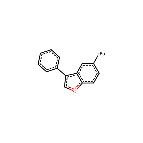 CC(C)(C)c1ccc2occ(-c3ccccc3)c2c1